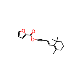 CC1=C(C=CC#COC(=O)c2ccco2)C(C)(C)CCC1